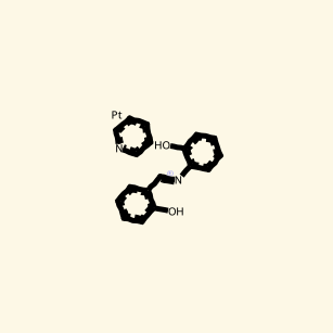 Oc1ccccc1/C=N/c1ccccc1O.[Pt].c1ccncc1